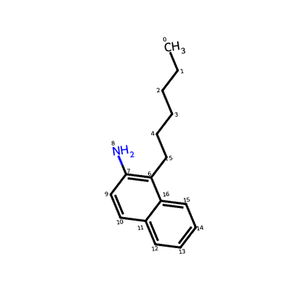 CCCCC[CH]c1c(N)ccc2ccccc12